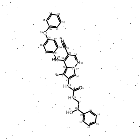 Cc1c(NC(=O)NCC(O)c2ccccc2)cn2ncc(C#N)c(Nc3ccc(Oc4ccccc4)cc3)c12